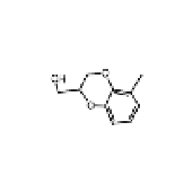 Cc1cccc2c1OCC(CO)O2